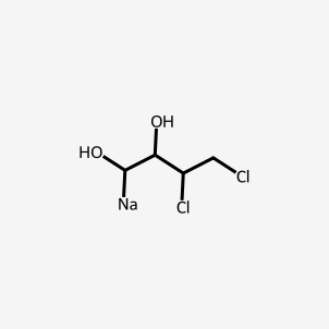 O[CH]([Na])C(O)C(Cl)CCl